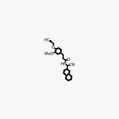 C#CCOc1ccc(CCC(=O)NC(C#N)c2ccc3ccccc3c2)cc1OC